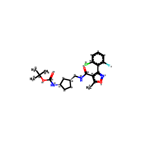 Cc1onc(-c2c(F)cccc2Cl)c1C(=O)NC[C@@H]1CC[C@H](NC(=O)OC(C)(C)C)C1